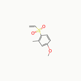 C=CS(=O)(=O)c1ccc(OC)cc1C